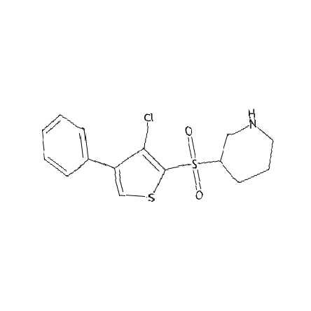 O=S(=O)(c1scc(-c2ccccc2)c1Cl)C1CCCNC1